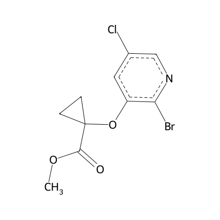 COC(=O)C1(Oc2cc(Cl)cnc2Br)CC1